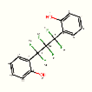 Oc1ccccc1C(F)(F)C(F)(F)C(F)(F)c1ccccc1O